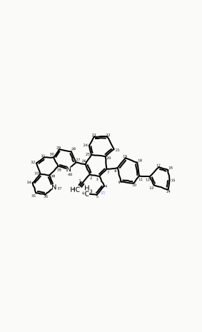 C#Cc1c(/C=C\C)c(-c2ccc(-c3ccccc3)cc2)c2ccccc2c1-c1ccc2ccc3cccnc3c2n1